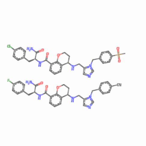 CS(=O)(=O)c1ccc(Cn2cncc2CNC2CCOc3c(C(=O)N[C@@H](Cc4ccc(Cl)cc4)C(N)=O)cccc32)cc1.N#Cc1ccc(Cn2cncc2CNC2CCOc3c(C(=O)N[C@@H](Cc4ccc(F)cc4)C(N)=O)cccc32)cc1